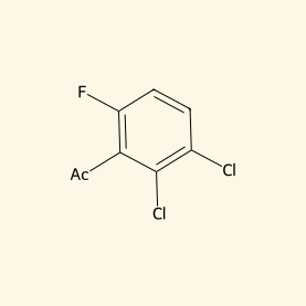 CC(=O)c1c(F)ccc(Cl)c1Cl